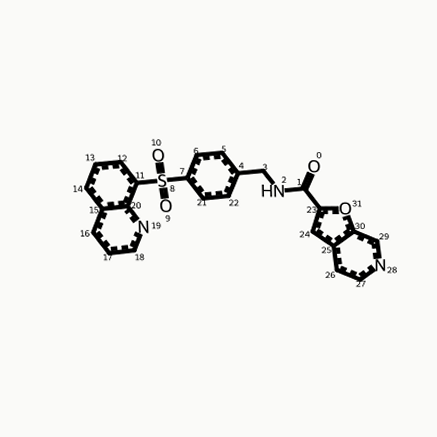 O=C(NCc1ccc(S(=O)(=O)c2cccc3cccnc23)cc1)c1cc2ccncc2o1